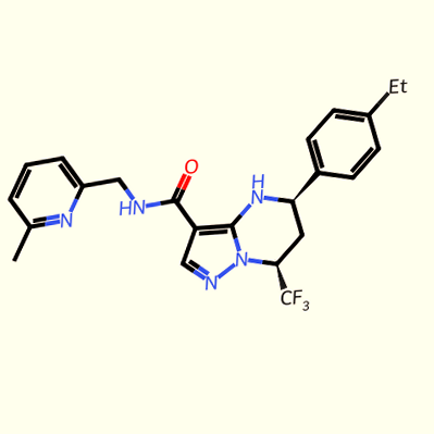 CCc1ccc([C@H]2C[C@@H](C(F)(F)F)n3ncc(C(=O)NCc4cccc(C)n4)c3N2)cc1